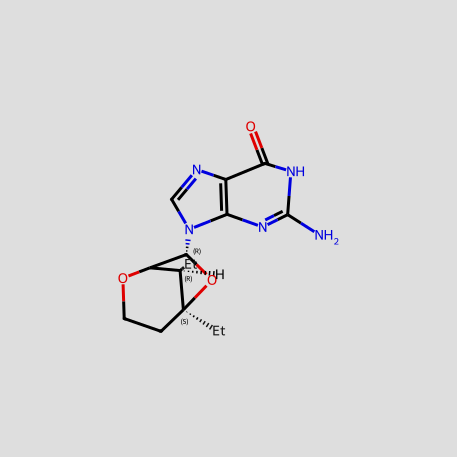 CC[C@@H]1C2OCC[C@]1(CC)O[C@H]2n1cnc2c(=O)[nH]c(N)nc21